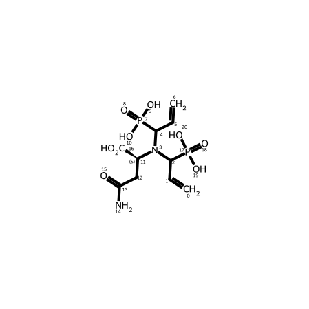 C=CC(N(C(C=C)P(=O)(O)O)[C@@H](CC(N)=O)C(=O)O)P(=O)(O)O